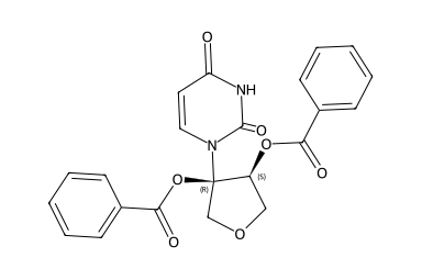 O=C(O[C@H]1COC[C@]1(OC(=O)c1ccccc1)n1ccc(=O)[nH]c1=O)c1ccccc1